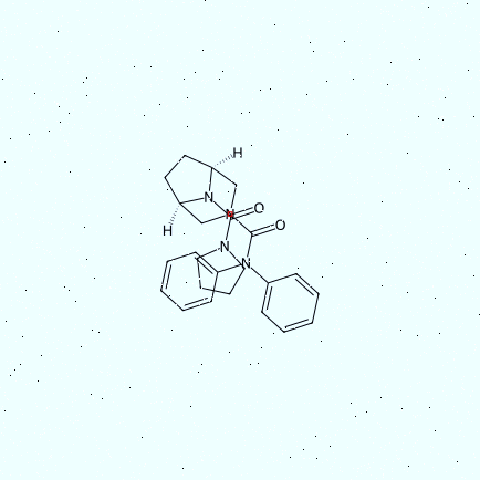 O=C(N1C[C@H]2CC[C@@H](C1)N2C(=O)N1CCCC1)N(c1ccccc1)c1ccccc1